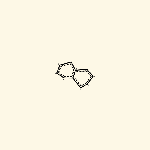 [c]1[c]c2cc[c]cc2cc1